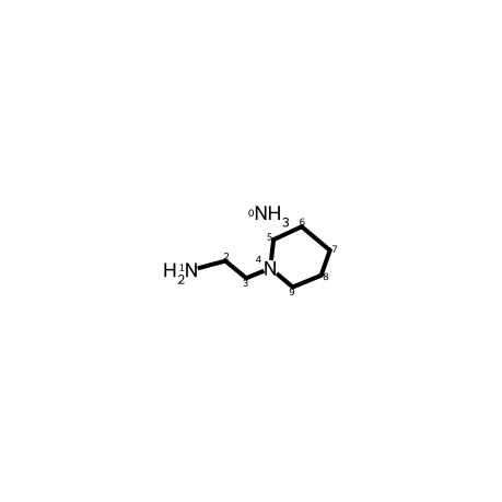 N.NCCN1CCCCC1